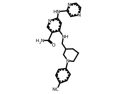 N#Cc1ccc(N2CCCC(CNc3cc(Nc4cnccn4)ncc3C(N)=O)C2)cc1